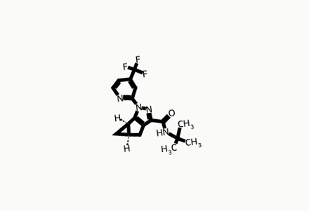 CC(C)(C)NC(=O)c1nn(-c2cc(C(F)(F)F)ccn2)c2c1C[C@H]1C[C@@H]21